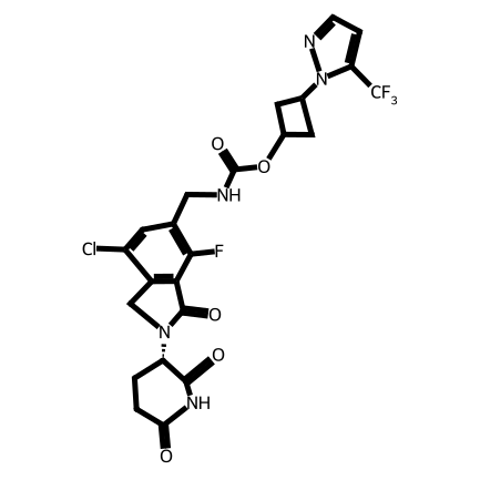 O=C1CC[C@H](N2Cc3c(Cl)cc(CNC(=O)OC4CC(n5nccc5C(F)(F)F)C4)c(F)c3C2=O)C(=O)N1